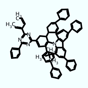 C/C=C\C(=C/C)c1nc(C2=CC(c3ccc(-c4ccccc4)cc3)=C(n3c4ccc(-c5ccccc5)cc4c4cc(-c5ccccc5)cc(C(C)(C)C)c43)C(C3C=CC(c4ccccc4)=CC3)C2)nc(-c2ccccc2)n1